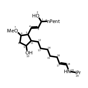 CCCCCC(O)/C=C/C1C(OC)CC(O)C1CCCCCC=CNC(C)C